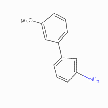 COc1cccc(-c2cccc(N)c2)c1